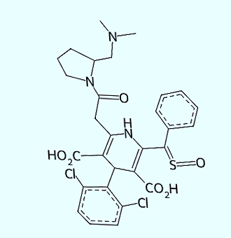 CN(C)CC1CCCN1C(=O)CC1=C(C(=O)O)C(c2c(Cl)cccc2Cl)C(C(=O)O)=C(C(=S=O)c2ccccc2)N1